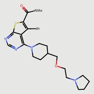 CNC(=O)c1sc2ncnc(N3CCC(COCCN4CCCC4)CC3)c2c1C(C)C